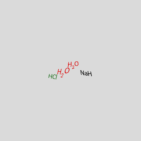 Cl.O.O.[NaH]